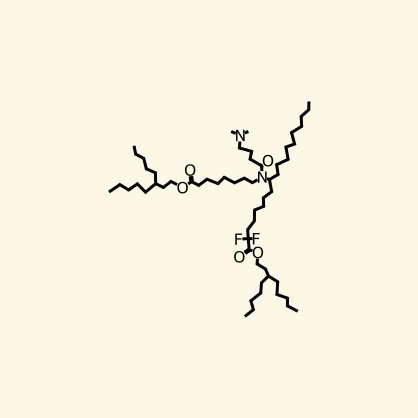 CCCCCCCCCCC(CCCCCCC(F)(F)C(=O)OCCC(CCCCC)CCCCC)N(CCCCCCCC(=O)OCCC(CCCCC)CCCCC)C(=O)CCCN(C)C